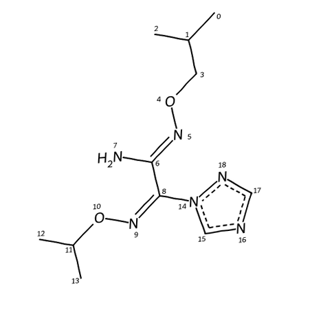 CC(C)CON=C(N)C(=NOC(C)C)n1cncn1